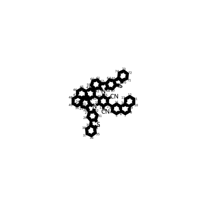 N#Cc1c(-c2ccc3ccc4ccccc4c3c2)c(C#N)c(-n2c3ccccc3c3cc4c(cc32)sc2ccccc24)c(-c2ccc3ccc4ccccc4c3c2)c1-n1c2ccccc2c2cc3c(cc21)sc1ccccc13